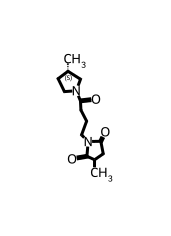 CC1CC(=O)N(CCCC(=O)N2CC[C@H](C)C2)C1=O